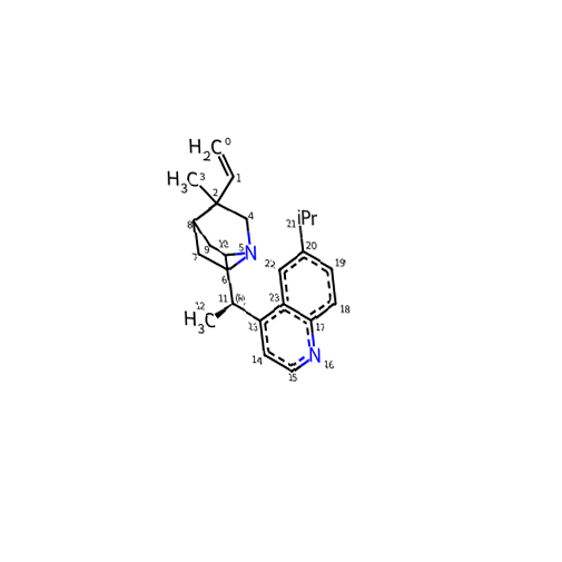 C=CC1(C)CN2CCC1CC2[C@H](C)c1ccnc2ccc(C(C)C)cc12